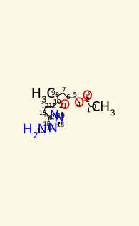 CCC(=O)OCC1C[C@@H](C)C(c2ccc3c(N)ncnn23)O1